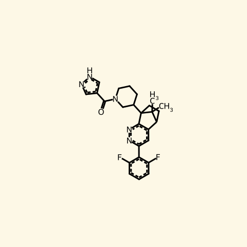 CC1(C)C2CCC1(C1CCCN(C(=O)c3cn[nH]c3)C1)c1nnc(-c3c(F)cccc3F)cc12